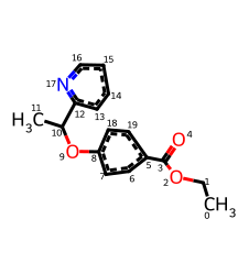 CCOC(=O)c1ccc(OC(C)c2ccccn2)cc1